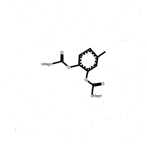 CCCCCCCC(=O)Oc1ccc(C)cc1OC(=O)CCCCCCC